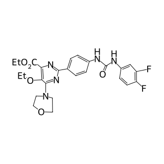 CCOC(=O)c1nc(-c2ccc(NC(=O)Nc3ccc(F)c(F)c3)cc2)nc(N2CCOCC2)c1OCC